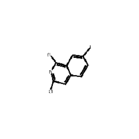 Clc1cc2ccc(I)cc2c(Cl)n1